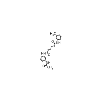 CC(=O)Nc1cccc(NC(=O)OCCOC(=O)Nc2cccc(C)c2)c1